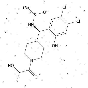 C[C@H](O)C(=O)N1CCC([C@@H](N[S+]([O-])C(C)(C)C)c2cc(Cl)c(Cl)cc2O)CC1